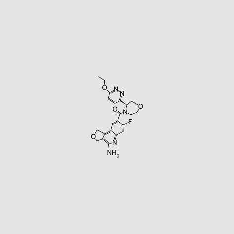 CCOc1ccc([C@H]2COCCN2C(=O)c2cc3c4c(c(N)nc3cc2F)COC4)nn1